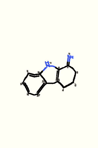 N=C1CCCc2c1[nH]c1ccccc21